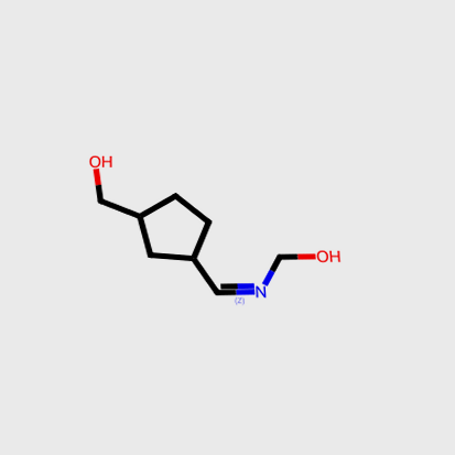 OC/N=C\C1CCC(CO)C1